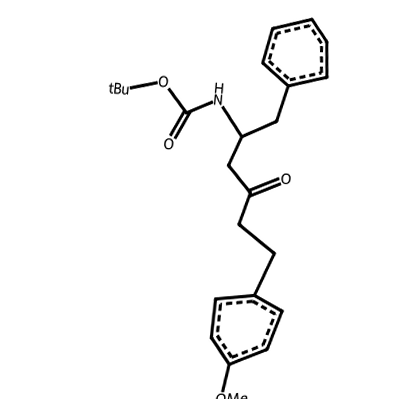 COc1ccc(CCC(=O)CC(Cc2ccccc2)NC(=O)OC(C)(C)C)cc1